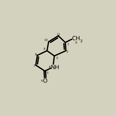 CC1=CC2NC(=O)C=CC2C=C1